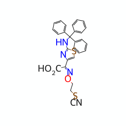 N#CSCCO/N=C(\C(=O)O)c1csc(NC(c2ccccc2)(c2ccccc2)c2ccccc2)n1